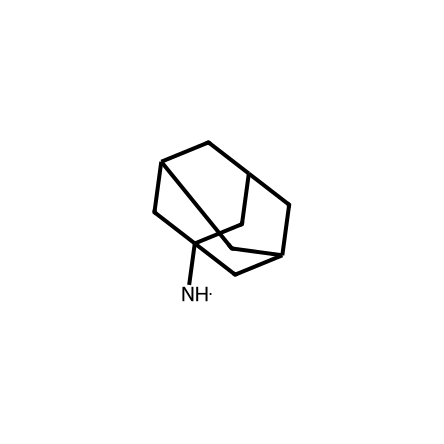 [NH]C12CC3CC(CC(C3)C1)C2